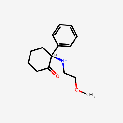 COCCN[C@]1(c2ccccc2)CCCCC1=O